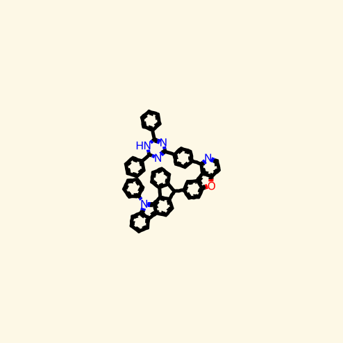 c1ccc(C2=NC(c3ccc(-c4nccc5oc6ccc(C7c8ccccc8-c8c7ccc7c9ccccc9n(-c9ccccc9)c87)cc6c45)cc3)=NC(c3ccccc3)N2)cc1